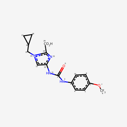 O=C(Nc1ccc(OC(F)(F)F)cc1)Nc1cn(CC2CC2)c(C(=O)O)n1